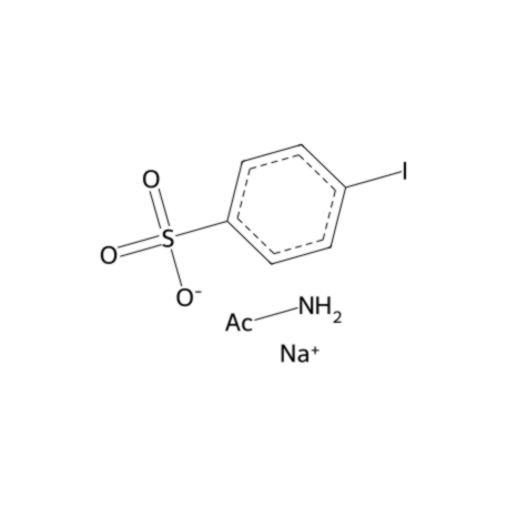 CC(N)=O.O=S(=O)([O-])c1ccc(I)cc1.[Na+]